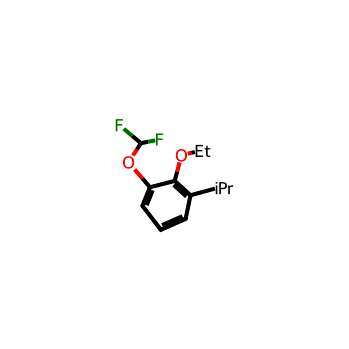 [CH2]C(C)c1cccc(OC(F)F)c1OCC